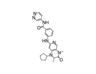 CC1C(=O)N(C)c2cnc(Nc3cccc(C(=O)Nc4ccnnc4)c3)cc2N1C1CCCC1